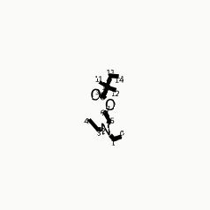 CCN(CC)CCOC(=O)C(C)(C)CC